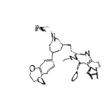 CC(C)N1CC(Cc2nc3cc[nH]c3c(=O)n2C)CC(c2ccc3c(c2)OCCO3)C1